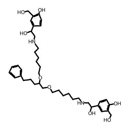 OCc1cc(C(O)CNCCCCCCOCC(CCCc2ccccc2)OCCCCCCNCC(O)c2ccc(O)c(CO)c2)ccc1O